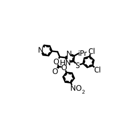 CC(C)c1nc(C(Cc2ccncc2)OC(=O)Oc2ccc([N+](=O)[O-])cc2)[nH]c1Sc1cc(Cl)cc(Cl)c1